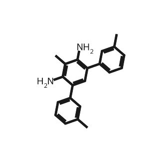 Cc1cccc(-c2cc(-c3cccc(C)c3)c(N)c(C)c2N)c1